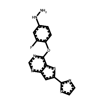 NNc1ccc(Oc2ncnc3cc(-c4nccs4)sc23)c(F)c1